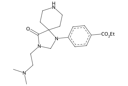 CCOC(=O)c1ccc(N2CN(CCN(C)C)C(=O)C23CCNCC3)cc1